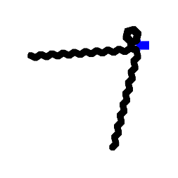 CCCCCCCCCCCCCCCCCCc1[nH]c2ccccc2c1CCCCCCCCCCCCCCCCCC